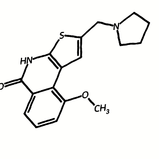 COc1cccc2c(=O)[nH]c3sc(CN4CCCC4)cc3c12